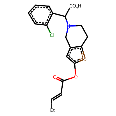 CCC=CC(=O)Oc1cc2c(s1)CCN(C(C(=O)O)c1ccccc1Cl)C2